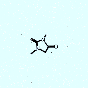 C=C1N(C)CC(=O)N1C